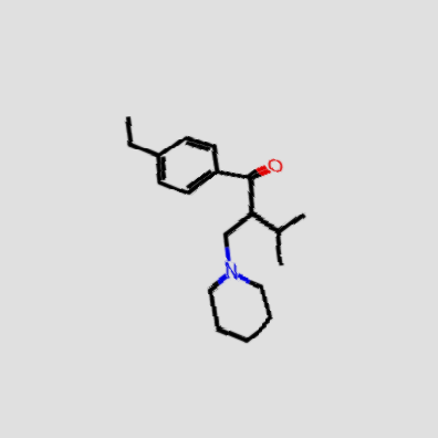 CCc1ccc(C(=O)C(CN2CCCCC2)C(C)C)cc1